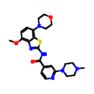 COc1ccc(N2CCOCC2)c2sc(NC(=O)c3ccnc(N4CCN(C)CC4)c3)nc12